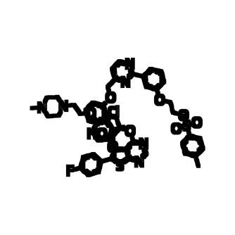 Cc1ccc(S(=O)(=O)OCCOc2cccc(-c3nccc(COc4ccccc4CC(Oc4ncnc5sc(-c6ccc(F)cc6)c(-c6ccc(OCCN7CCN(C)CC7)c(Cl)c6C)c45)C(=O)O)n3)c2)cc1